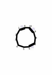 [C]1=C\CCCC/C=C\C\C=C/1